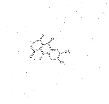 Cc1cc2c(=O)c3c(=O)ccc(=O)c=3c(=O)c2cc1C